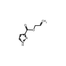 C=CCOC(=O)c1cc[nH]n1